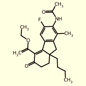 C=C(OCC)C1=C2c3cc(F)c(NC(C)=O)c(C)c3CC2(CCCC)CCC1=O